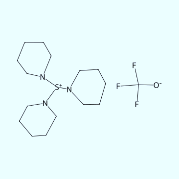 C1CCN([S+](N2CCCCC2)N2CCCCC2)CC1.[O-]C(F)(F)F